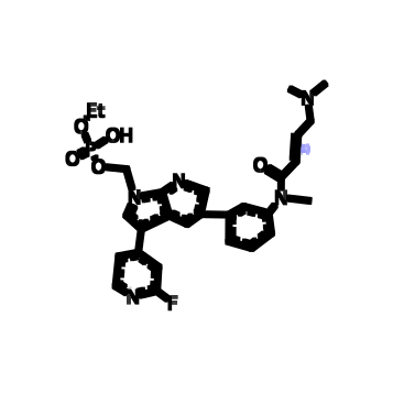 CCOP(=O)(O)OCn1cc(-c2ccnc(F)c2)c2cc(-c3cccc(N(C)C(=O)/C=C/CN(C)C)c3)cnc21